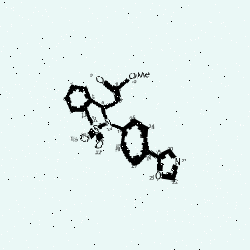 COC(=O)CC1c2ccccc2S(=O)(=O)N1c1ccc(-c2cnco2)cc1